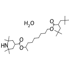 CC(CCCCCCCOC(=O)C(CC(C)(C)C)CC(C)(C)C)OC(=O)C1CC(C)(C)NC(C)(C)C1.O